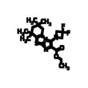 CCOC(=O)c1nc2sc3c(n2c1N1CC(F)(F)C1)CC(C)(C)CC3(C)C